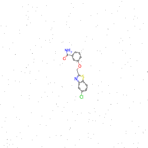 NC(=O)c1cccc(OCc2nc3cc(Cl)ccc3s2)c1